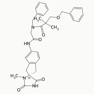 CN1C(=O)NC(=O)[C@@]12Cc1ccc(NC(=O)CN(Cc3ccccc3)C(=O)C(C)(C)COCc3ccccc3)cc1C2